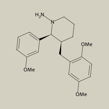 COc1cccc([C@@H]2[C@H](Cc3cc(OC)ccc3OC)CCCN2N)c1